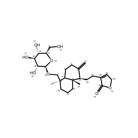 C=C1CCC2[C@](C)(CO[C@@H]3O[C@H](CO)[C@@H](O)[C@H](O)[C@H]3O)CCC[C@@]2(C)[C@@H]1CCC1=CCOC1=O